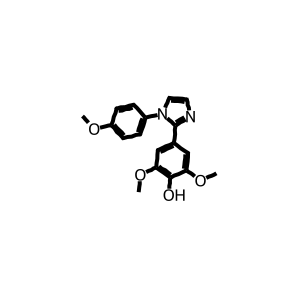 COc1ccc(-n2ccnc2-c2cc(OC)c(O)c(OC)c2)cc1